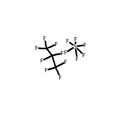 FC(F)(F)C(F)(F)C(F)(F)F.FS(F)(F)(F)(F)F